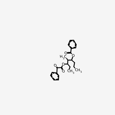 CCCC(OC(=O)c1ccccc1)C(C)C(CC)OC(=O)C(=O)c1ccccc1